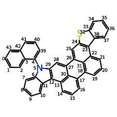 c1ccc2c(-n3c4ccccc4c4c5cccc6c7cccc8c9c(cc(c(cc43)c65)c78)sc3ccccc39)cccc2c1